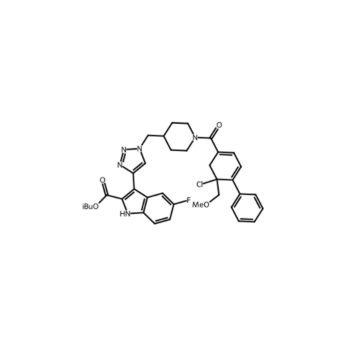 COCC1(Cl)CC(C(=O)N2CCC(Cn3cc(-c4c(C(=O)OCC(C)C)[nH]c5ccc(F)cc45)nn3)CC2)=CC=C1c1ccccc1